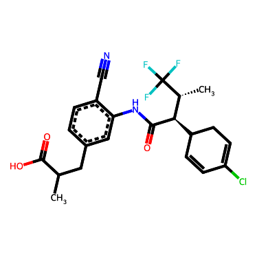 CC(Cc1ccc(C#N)c(NC(=O)[C@H](C2C=CC(Cl)=CC2)[C@@H](C)C(F)(F)F)c1)C(=O)O